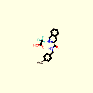 CC(=O)Oc1ccc(CNC(=O)[C@@H]2Cc3ccccc3CN2)cc1.O=C(O)C(F)(F)F